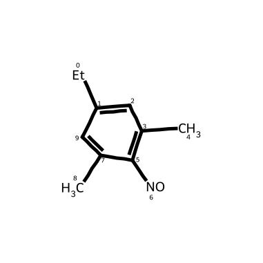 CCc1cc(C)c(N=O)c(C)c1